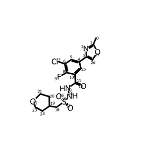 Cc1nc(-c2cc(Cl)c(F)c(C(=O)NNS(=O)(=O)CC3CCOCC3)c2)co1